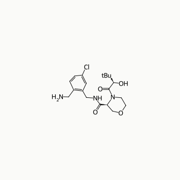 CC(C)(C)[C@@H](O)C(=O)N1CCOC[C@H]1C(=O)NCc1cc(Cl)ccc1CN